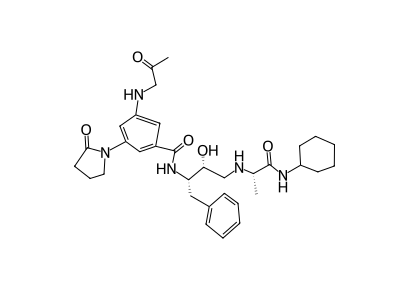 CC(=O)CNc1cc(C(=O)N[C@@H](Cc2ccccc2)[C@H](O)CN[C@@H](C)C(=O)NC2CCCCC2)cc(N2CCCC2=O)c1